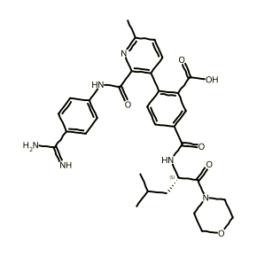 Cc1ccc(-c2ccc(C(=O)N[C@@H](CC(C)C)C(=O)N3CCOCC3)cc2C(=O)O)c(C(=O)Nc2ccc(C(=N)N)cc2)n1